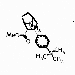 COC(=O)[C@@H]1C2CCC(C[C@@H]1c1ccc([Si](C)(C)C)cc1)N2C